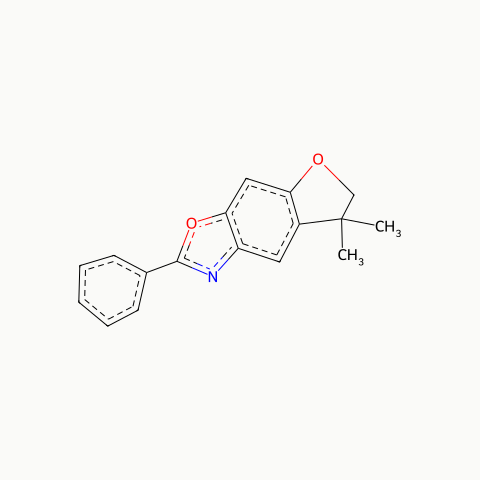 CC1(C)COc2cc3oc(-c4ccccc4)nc3cc21